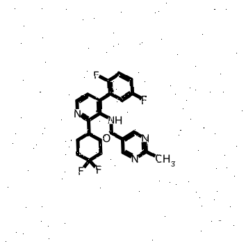 Cc1ncc(C(=O)Nc2c(-c3cc(F)ccc3F)ccnc2C2CCC(F)(F)CC2)cn1